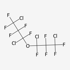 FC(F)(Cl)C(F)(F)C(F)(Cl)OC(F)(Cl)C(F)(F)C(F)(F)Cl